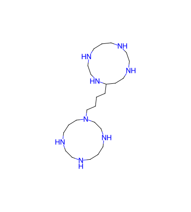 C1CNCCNCCC(CCCCN2CCCNCCNCCCNCC2)NCCNC1